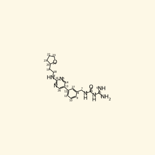 N=C(N)NC(=O)NCc1cccc(-c2cnc(NCCC3CCCO3)nc2)c1